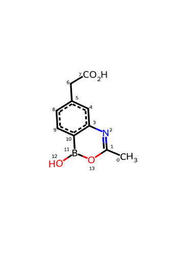 CC1=Nc2cc(CC(=O)O)ccc2B(O)O1